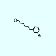 O=CCCCCCc1cccc(Br)c1